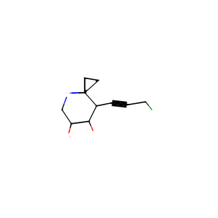 OC1CNC2(CC2)C(C#CCF)C1O